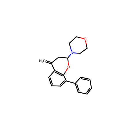 C=C1CC(N2CCOCC2)Oc2c1cccc2-c1ccccc1